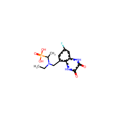 CCN(Cc1cc(F)cc2[nH]c(=O)c(=O)[nH]c12)C(C)P(=O)(O)O